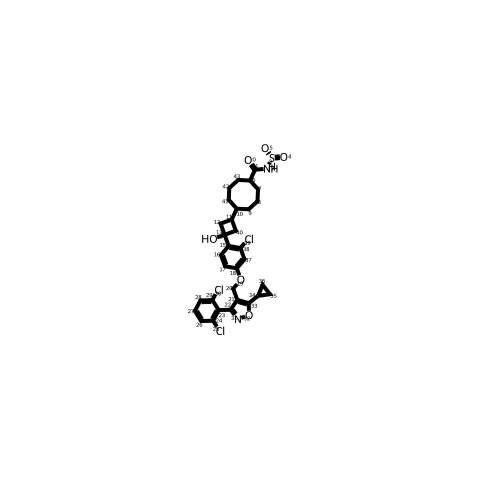 O=C(N[SH](=O)=O)C1CCCC(C2CC(O)(c3ccc(OCc4c(-c5c(Cl)cccc5Cl)noc4C4CC4)cc3Cl)C2)CCC1